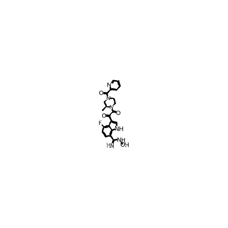 CC1CN(C(=O)c2ccccn2)CCN1C(=O)C(=O)c1c[nH]c2c(C(=N)NO)ccc(F)c12